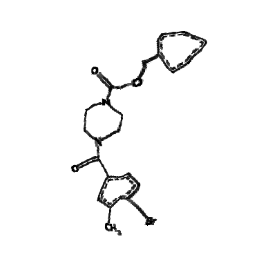 Cc1cc(C(=O)N2CCN(C(=O)OCc3ccccc3)CC2)ccc1Br